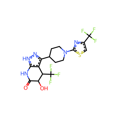 O=C1Nc2[nH]nc(C3CCN(c4nc(C(F)(F)F)cs4)CC3)c2C(C(F)(F)F)C1O